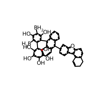 Bc1c(O)c(B)c(-c2c(O)c(O)c(O)c(O)c2O)c(-c2c3c(c(-c4ccc5c(c4)oc4ccc6c(c45)C=CCC6)c4ccccc24)C=CCC3)c1O